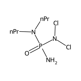 CCCN(CCC)P(N)(=O)N(Cl)Cl